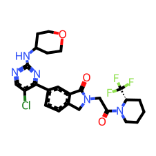 O=C1c2cc(-c3nc(NC4CCOCC4)ncc3Cl)ccc2CN1CC(=O)N1CCCC[C@H]1C(F)(F)F